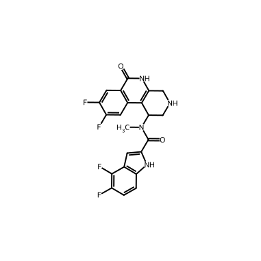 CN(C(=O)c1cc2c(F)c(F)ccc2[nH]1)C1CNCc2[nH]c(=O)c3cc(F)c(F)cc3c21